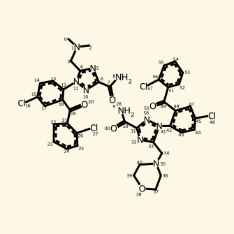 CN(C)Cc1nc(C(N)=O)nn1-c1ccc(Cl)cc1C(=O)c1ccccc1Cl.NC(=O)c1nc(CN2CCOCC2)n(-c2ccc(Cl)cc2C(=O)c2ccccc2Cl)n1